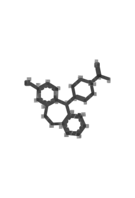 CC(=O)N1CC=C(C2c3ccc(Cl)cc3CCc3cccnc32)CC1